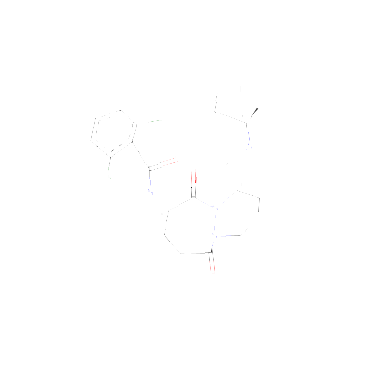 O=C[C@H](CC(=O)O)NC[C@@H]1CCCN2C(=O)CC[C@H](NC(=O)c3c(Cl)cccc3Cl)C(=O)N12